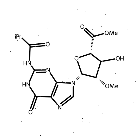 COC(=O)[C@H]1O[C@@H](n2cnc3c(=O)[nH]c(NC(=O)C(C)C)nc32)[C@@H](OC)C1O